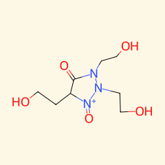 O=C1C(CCO)[N+](=O)N(CCO)N1CCO